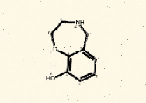 Oc1cccc2c1OCCNC2